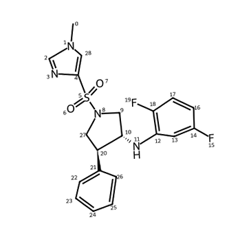 Cn1cnc(S(=O)(=O)N2C[C@H](Nc3cc(F)ccc3F)[C@@H](c3ccccc3)C2)c1